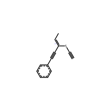 C#CS/C(C#Cc1ccccc1)=C\C